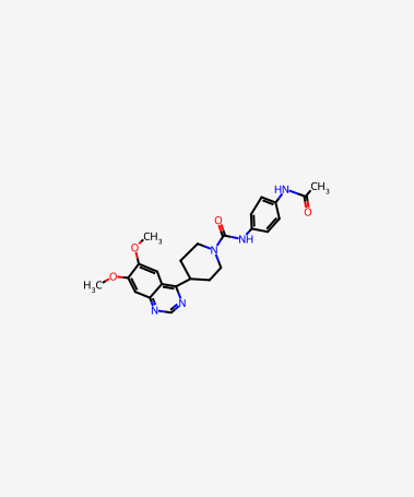 COc1cc2ncnc(C3CCN(C(=O)Nc4ccc(NC(C)=O)cc4)CC3)c2cc1OC